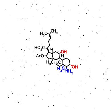 CC(=O)O[C@H]1C[C@]2(C)C3CC[C@@]4(N)[C@H](N)[C@H](O)CC[C@]4(C)[C@@H]3[C@H](O)C[C@H]2/C1=C(\CCC=C(C)C)C(=O)O